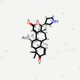 CC(=O)O[C@@H]1CC2C(C)(C)C(=O)C=C[C@]2(C)C2CC[C@]3(C)C(=CC(=O)O[C@H]3C3CCNC3)[C@@]21C